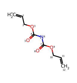 C=CCOC(=O)[N]C(=O)OCC=C